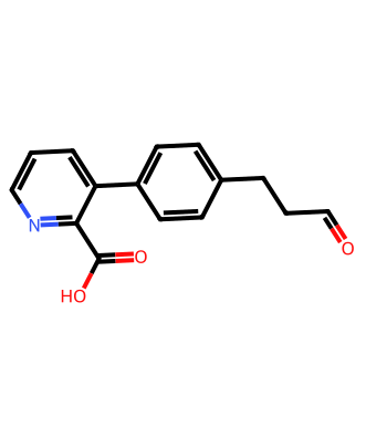 O=CCCc1ccc(-c2cccnc2C(=O)O)cc1